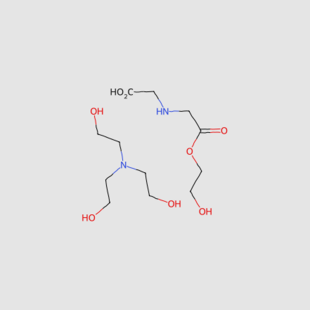 O=C(O)CNCC(=O)OCCO.OCCN(CCO)CCO